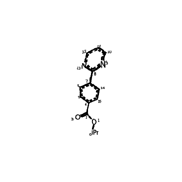 CC(C)OC(=O)c1ccc(-c2ncccn2)cc1